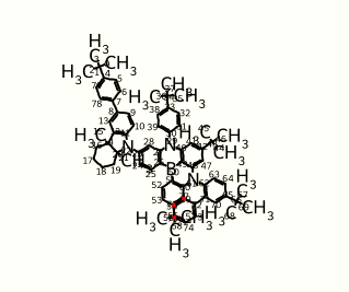 CC(C)(C)c1ccc(-c2ccc3c(c2)C2(C)CCCCC2(C)N3c2ccc3c(c2)N(c2ccc(C(C)(C)C)cc2)c2cc(C(C)(C)C)cc4c2B3c2ccc(C(C)(C)C)cc2N4c2ccc(C(C)(C)C)cc2-c2ccccc2)cc1